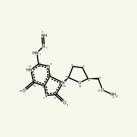 N=NNc1nc2c(sc(=O)n2[C@H]2CC[C@@H](CON)O2)c(=O)[nH]1